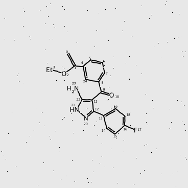 C=C(OCC)c1cccc(C(=O)c2c(-c3ccc(F)cc3)n[nH]c2N)c1